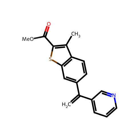 C=C(c1cccnc1)c1ccc2c(C)c(C(=O)OC)sc2c1